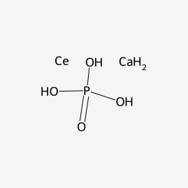 O=P(O)(O)O.[CaH2].[Ce]